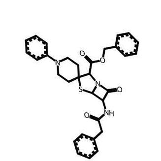 O=C(Cc1ccccc1)NC1C(=O)N2C1SC1(CCN(c3ccccc3)CC1)C2C(=O)OCc1ccccc1